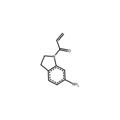 C=CC(=O)N1CCc2ccc(N)cc21